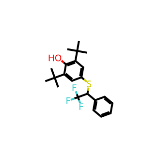 CC(C)(C)c1cc(SC(c2ccccc2)C(F)(F)F)cc(C(C)(C)C)c1O